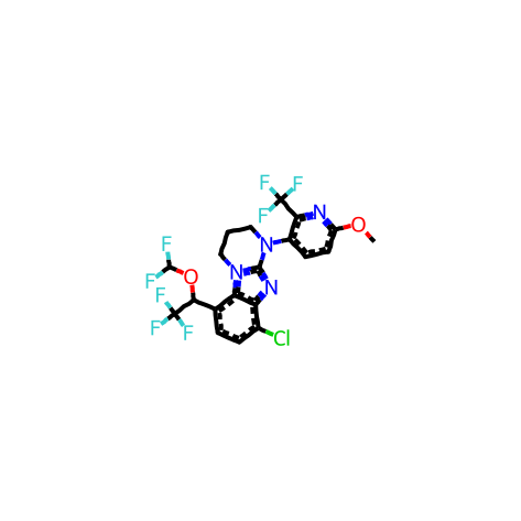 COc1ccc(N2CCCn3c2nc2c(Cl)ccc(C(OC(F)F)C(F)(F)F)c23)c(C(F)(F)F)n1